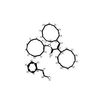 O=C(OC1CCCCCCCCC1)C(=CC1CCCCCCCCC1)C1CCCCCCCCC1.[O]CCc1ccccc1